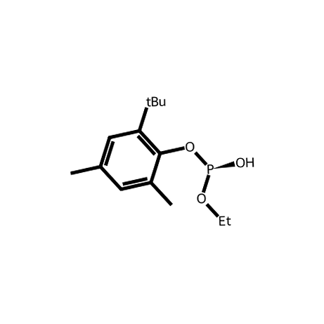 CCO[P@](O)Oc1c(C)cc(C)cc1C(C)(C)C